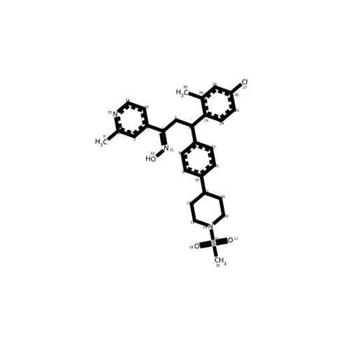 Cc1cc(C(CC(c2ccc(C3CCN(S(C)(=O)=O)CC3)cc2)c2ccc(Cl)cc2C)=NO)ccn1